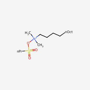 CCCCCCCCCCCC[N+](C)(C)OS(=O)(=O)CCC